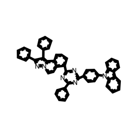 c1ccc(-c2nc(-c3ccc(-n4c5ccccc5c5ccccc54)cc3)nc(-c3cccc4c3ccn3nc(-c5ccccc5)c(-c5ccccc5)c43)n2)cc1